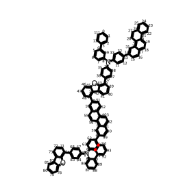 c1ccc(-c2cccc(N(c3ccc(-c4ccc5ccc6c7ccccc7ccc6c5c4)cc3)c3ccc(-c4cccc5c4oc4cccc(-c6ccc7c(ccc8c9cc(-c%10ccc(N(c%11ccc(-c%12cccc%13c%12oc%12ccccc%12%13)cc%11)c%11ccccc%11-c%11ccccc%11)cc%10)ccc9ccc78)c6)c45)cc3)c2)cc1